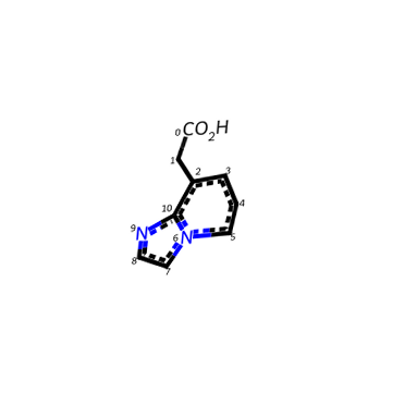 O=C(O)Cc1cccn2ccnc12